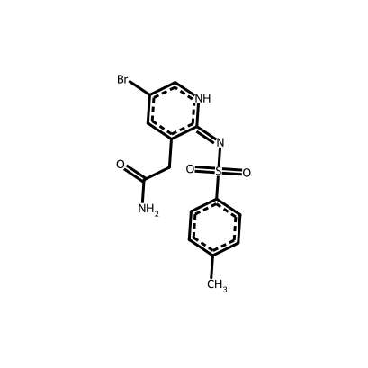 Cc1ccc(S(=O)(=O)N=c2[nH]cc(Br)cc2CC(N)=O)cc1